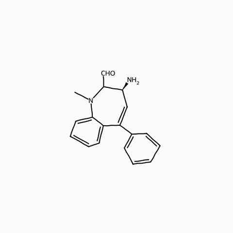 CN1c2ccccc2C(c2ccccc2)=C[C@H](N)C1C=O